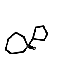 O=P1(C2CCCC2)CCCCCC1